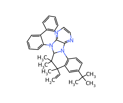 C=CC1(C)c2cc(C(C)(C)C)ccc2N2c3nccnc3N(c3ccccc3-c3ccccc3)C2C1(C)C